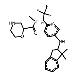 CN(C(=O)C1CNCCO1)[C@@H](c1ccc(NC2Cc3ccccc3C2(C)C)cn1)C(F)(F)F